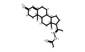 CC(=O)ON=C(C)C1CCC2C3CCC4=CC(=O)CCC4(C)C3CCC12C